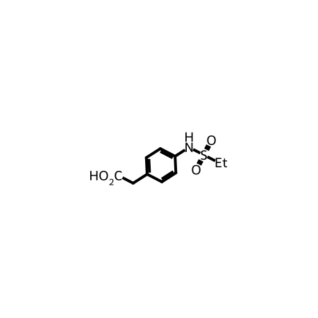 CCS(=O)(=O)Nc1ccc(CC(=O)O)cc1